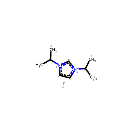 CC(C)n1cc[n+](C(C)C)c1.[I-]